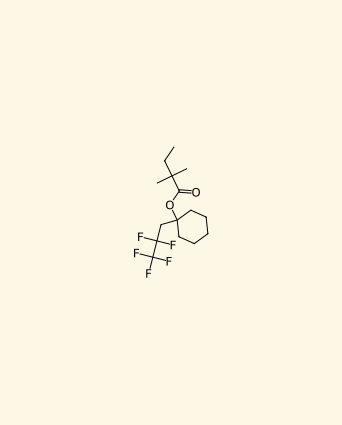 CCC(C)(C)C(=O)OC1(CC(F)(F)C(F)(F)F)CCCCC1